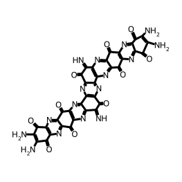 N=c1c(=O)c2nc3c(nc2c2nc4c(=O)c5nc6c(=O)c(N)c(N)c(=O)c6nc5c(=O)c4nc12)c(=O)c(=N)c1nc2c(=O)c4nc5c(=O)c(N)c(N)c(=O)c5nc4c(=O)c2nc13